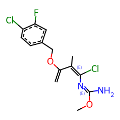 C=C(OCc1ccc(Cl)c(F)c1)/C(C)=C(Cl)\N=C(/N)OC